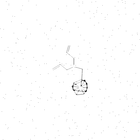 C=CCN(CC=C)C[C]12[CH]3[CH]4[CH]5[CH]1[Fe]45321678[CH]2[CH]1[CH]6[CH]7[CH]28